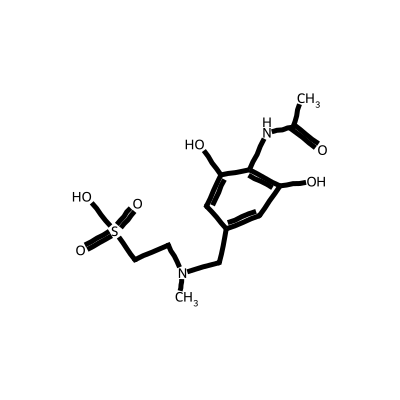 CC(=O)Nc1c(O)cc(CN(C)CCS(=O)(=O)O)cc1O